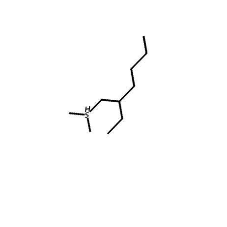 CCCCC(CC)C[SH](C)C